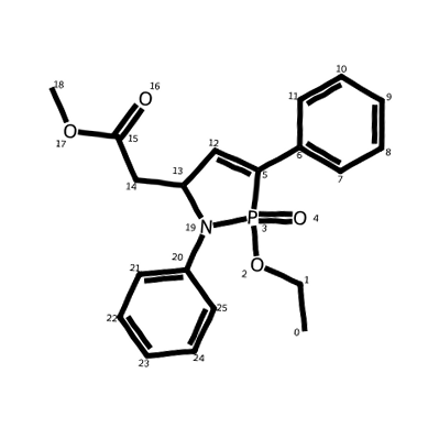 CCOP1(=O)C(c2ccccc2)=CC(CC(=O)OC)N1c1ccccc1